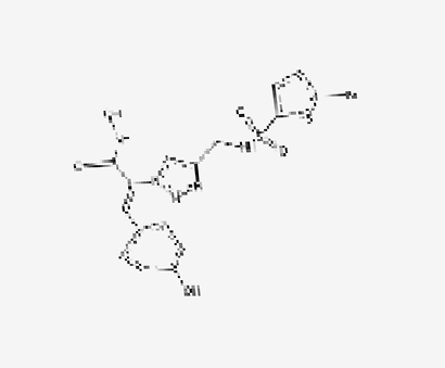 O=C(NO)C(=Cc1ccc(O)cc1)n1cc(CNS(=O)(=O)c2ccc(Br)s2)nn1